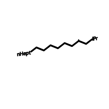 CCCCCCCCCCCCC[CH]CC(C)C